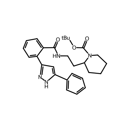 CC(C)(C)OC(=O)N1CCCCC1CCNC(=O)c1ccccc1-c1cc(-c2ccccc2)[nH]n1